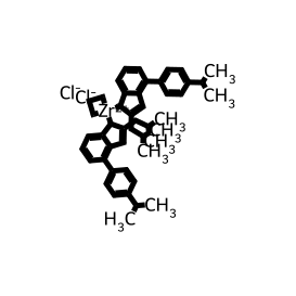 CC(C)CC1=Cc2c(-c3ccc(C(C)C)cc3)cccc2[CH]1[Zr+2]1([CH]2C(CC(C)C)=Cc3c(-c4ccc(C(C)C)cc4)cccc32)[CH2]C[CH2]1.[Cl-].[Cl-]